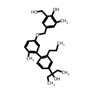 CCCc1cc(C(O)(CC)CC)ccc1-c1cc(OCc2cc(C)c(O)c(CO)c2)ccc1C